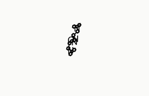 c1cc(-c2cccc(-n3c4ccccc4c4ccccc43)c2)cc(-c2ncnc3c2oc2ccc(-c4cccc(-n5c6ccccc6c6ccccc65)c4)cc23)c1